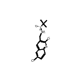 CC(C)(C)[S@@+]([O-])NCc1cc2cc(Cl)ccc2nc1Cl